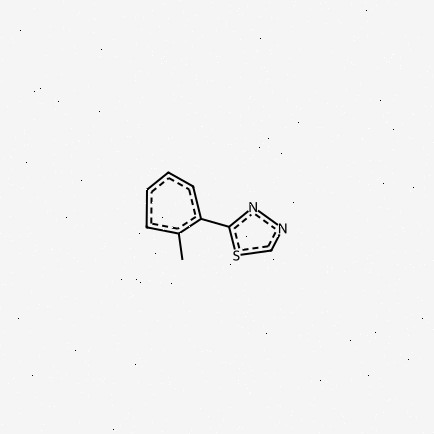 Cc1ccccc1-c1nncs1